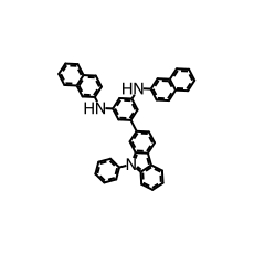 c1ccc(-n2c3ccccc3c3ccc(-c4cc(Nc5ccc6ccccc6c5)cc(Nc5ccc6ccccc6c5)c4)cc32)cc1